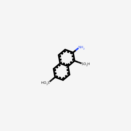 Nc1ccc2cc(S(=O)(=O)O)ccc2c1S(=O)(=O)O